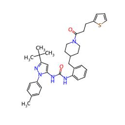 Cc1ccc(-n2nc(C(C)(C)C)cc2NC(=O)Nc2ccccc2CC2CCN(C(=O)CCc3cccs3)CC2)cc1